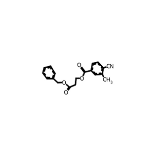 Cc1cc(C(=O)OCCC(=O)OCc2ccccc2)ccc1C#N